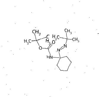 CC(C)(C)N=NC1(NC(=O)OC(C)(C)C)CCCCC1